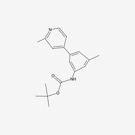 Cc1cc(NC(=O)OC(C)(C)C)cc(-c2ccnc(C)c2)c1